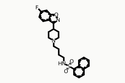 O=S(=O)(NCCCCN1CCC(c2noc3cc(F)ccc23)CC1)c1cccc2ccccc12